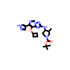 CC1CN(C(=O)OC(C)(C)C)CCC1Nc1nc2c(OC3CCC3)c(-c3cn[nH]c3)ncn2n1